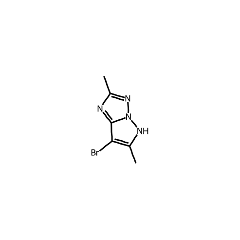 Cc1nc2c(Br)c(C)[nH]n2n1